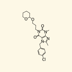 Cc1nc2c(c(=O)n(CCCOC3CCCCO3)c(=O)n2C)n1Cc1ccc(Cl)cc1